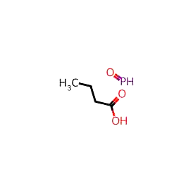 CCCC(=O)O.O=P